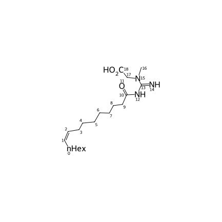 CCCCCC/C=C\CCCCCCCC(=O)NC(=N)N(C)CC(=O)O